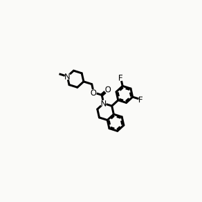 CN1CCC(COC(=O)N2CCc3ccccc3C2c2cc(F)cc(F)c2)CC1